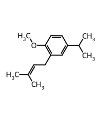 COc1ccc(C(C)C)cc1CC=C(C)C